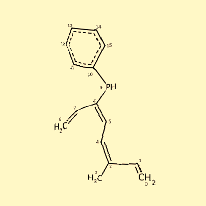 C=C/C(C)=C\C=C(/C=C)Pc1ccccc1